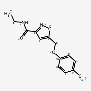 CCNC(=O)c1cc(COc2ccc(C)cc2)on1